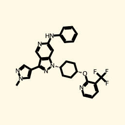 Cn1cc(-c2nn([C@H]3CC[C@@H](Oc4ncccc4C(F)(F)F)CC3)c3cc(Nc4ccccc4)ncc23)cn1